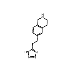 c1cc2c(cc1CCc1nnn[nH]1)CCNC2